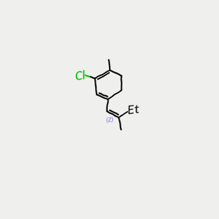 CC/C(C)=C\C1=CC(Cl)=C(C)CC1